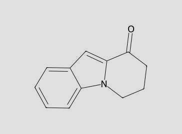 O=C1CCCn2c1cc1ccccc12